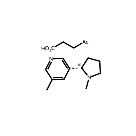 CC(=O)CCC(=O)O.Cc1cncc([C@@H]2CCCN2C)c1